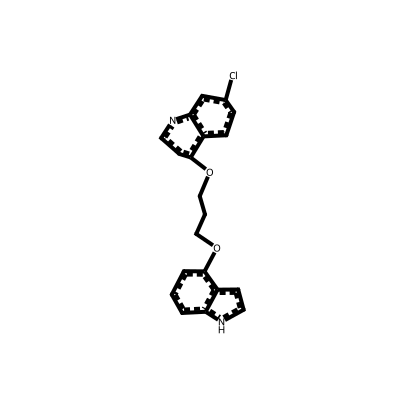 Clc1ccc2c(OCCCOc3cccc4[nH]ccc34)ccnc2c1